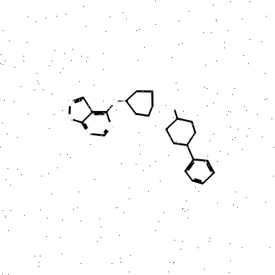 c1ccc(C2CCC(O[C@H]3CC[C@H](Nc4ncnc5[nH]ncc45)CC3)CC2)cc1